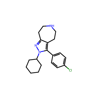 Clc1ccc(-c2c3c(nn2C2CCCCC2)CCNCC3)cc1